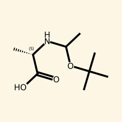 CC(N[C@@H](C)C(=O)O)OC(C)(C)C